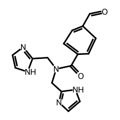 O=Cc1ccc(C(=O)N(Cc2ncc[nH]2)Cc2ncc[nH]2)cc1